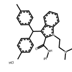 Cc1ccc(C(c2ccc(C)cc2)c2c(C(=O)NC(C)C)n(CCN(C)C)c3ccccc23)cc1.Cl